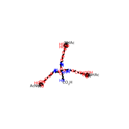 CC(=O)N[C@H]1[C@H]2OC[C@@](COCCOCCOCCOCCn3cc(COCC(COCc4cn(CCOCCOCCOCCOC[C@]56CO[C@@H](O5)[C@H](NC(C)=O)[C@@H](O)[C@H]6O)nn4)(COCc4cn(CCOCCOCCOCCOC[C@]56CO[C@@H](O5)[C@H](NC(C)=O)[C@@H](O)[C@H]6O)nn4)NC(=O)CCCCCNC(=O)O)nn3)(O2)[C@H](O)[C@@H]1O